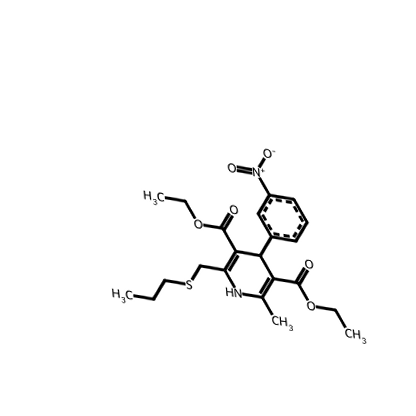 CCCSCC1=C(C(=O)OCC)C(c2cccc([N+](=O)[O-])c2)C(C(=O)OCC)=C(C)N1